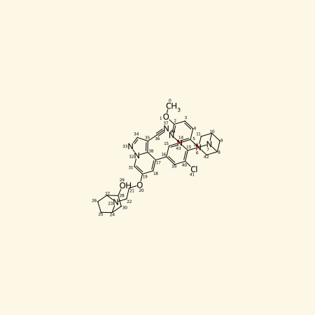 COc1ccc(CN2C3CC2CN(c2ncc(-c4cc(OCCN5C6CCC5C(O)C6)cn5ncc(C#N)c45)cc2Cl)C3)cn1